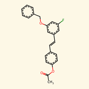 CC(=O)Oc1ccc(C=Cc2cc(F)cc(OCc3ccccc3)c2)cc1